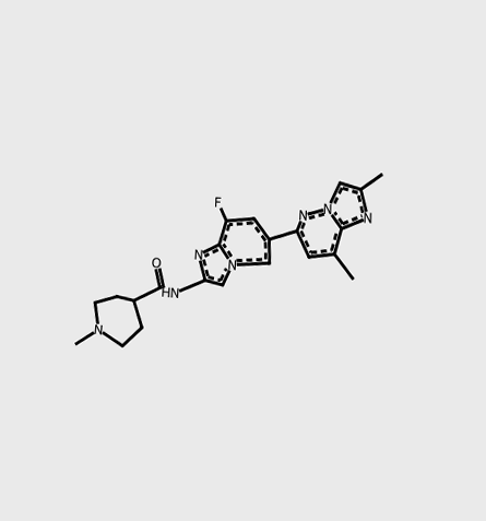 Cc1cn2nc(-c3cc(F)c4nc(NC(=O)C5CCN(C)CC5)cn4c3)cc(C)c2n1